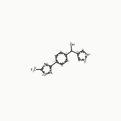 OC(c1ccc(-c2noc(C(F)(F)F)n2)cc1)c1cnoc1